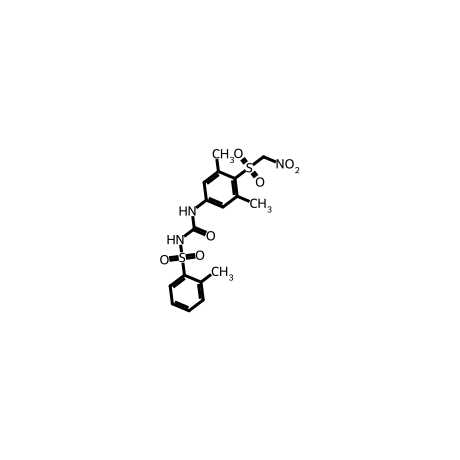 Cc1ccccc1S(=O)(=O)NC(=O)Nc1cc(C)c(S(=O)(=O)C[N+](=O)[O-])c(C)c1